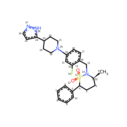 C[C@H]1CCC(c2ccccc2)S(=O)(=O)N1Cc1ccc(N2CCC(c3ccn[nH]3)CC2)cc1F